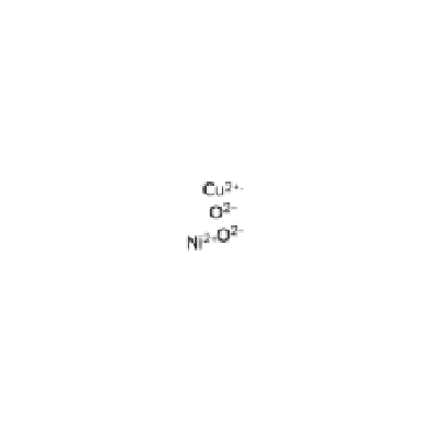 [Cu+2].[Ni+2].[O-2].[O-2]